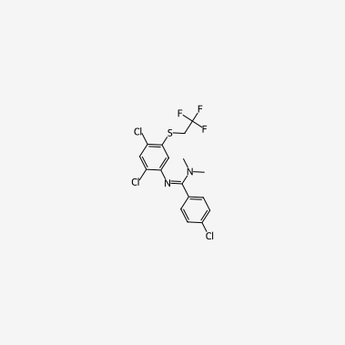 CN(C)/C(=N\c1cc(SCC(F)(F)F)c(Cl)cc1Cl)c1ccc(Cl)cc1